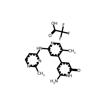 Cc1nccc(Nc2cc(-c3cc(N)[nH]c(=O)c3)c(C)cn2)n1.O=C(O)C(F)(F)F